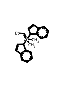 CC[CH]=[Zr]([CH3])([CH3])([CH]1C=Cc2ccccc21)[CH]1C=Cc2ccccc21